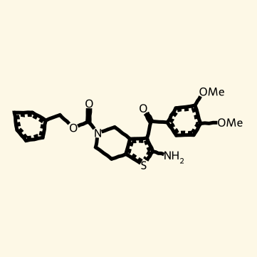 COc1ccc(C(=O)c2c(N)sc3c2CN(C(=O)OCc2ccccc2)CC3)cc1OC